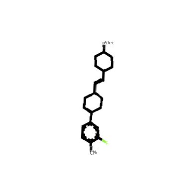 CCCCCCCCCCC1CCC(C=CC2CCC(c3ccc(C#N)c(F)c3)CC2)CC1